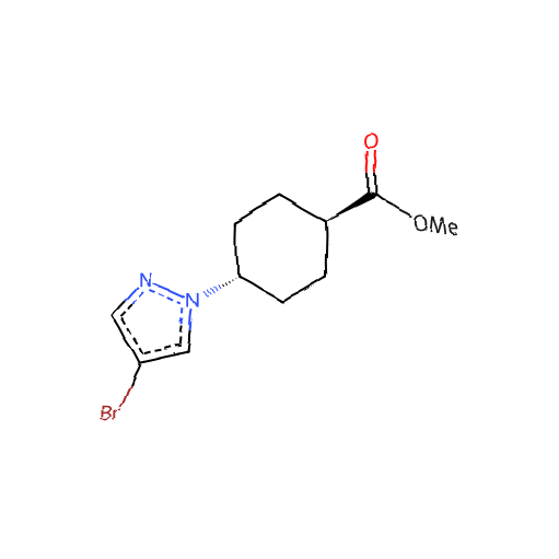 COC(=O)[C@H]1CC[C@H](n2cc(Br)cn2)CC1